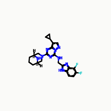 Fc1ccc2[nH]c(CNc3nc(N4C[C@H]5CCC[C@@H](C4)N5)nc4c(C5CC5)cnn34)nc2c1F